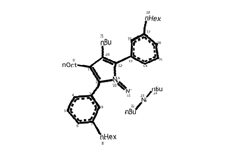 CCCCCCCCC1=C(c2cccc(CCCCCC)c2)[N+](=[N-])C(c2cccc(CCCCCC)c2)=C1CCCC.CCC[CH2][Ni][CH2]CCC